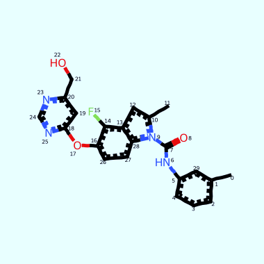 Cc1cccc(NC(=O)n2c(C)cc3c(F)c(Oc4cc(CO)ncn4)ccc32)c1